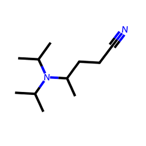 CC(C)N(C(C)C)C(C)CCC#N